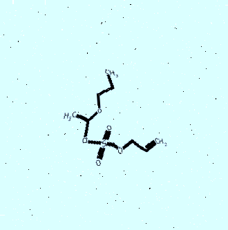 C=CCOS(=O)(=O)OC(C)OCCC